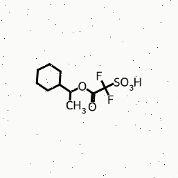 CC(OC(=O)C(F)(F)S(=O)(=O)O)C1CCCCC1